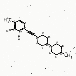 Cc1ccc(C#CC2CCC(C3CCC(C)CC3)CC2)c(F)c1F